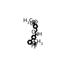 CCS(=O)(=O)c1ccc(CC(=O)Nc2ccc(-c3ccccc3OC(F)(F)F)c(C)c2)cc1